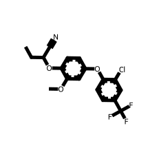 CCC(C#N)Oc1ccc(Oc2ccc(C(F)(F)F)cc2Cl)cc1OC